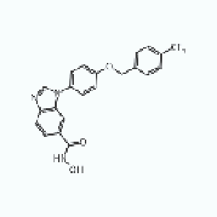 O=C(NO)c1ccc2ncn(-c3ccc(OCc4ccc(C(F)(F)F)cc4)cc3)c2c1